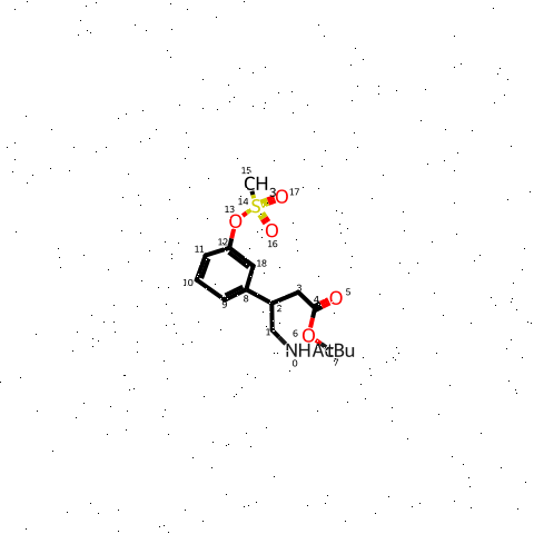 CC(=O)NCC(CC(=O)OC(C)(C)C)c1cccc(OS(C)(=O)=O)c1